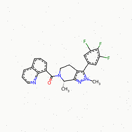 C[C@H]1c2nn(C)c(-c3cc(F)c(F)c(F)c3)c2CCN1C(=O)c1cccc2cccnc12